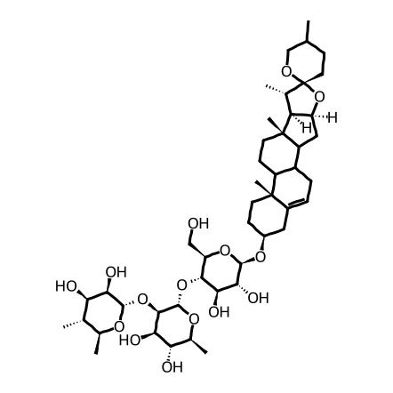 CC1CC[C@@]2(OC1)O[C@H]1CC3C4CC=C5C[C@@H](O[C@@H]6O[C@H](CO)[C@@H](O[C@@H]7O[C@@H](C)[C@H](O)[C@@H](O)[C@H]7O[C@@H]7O[C@@H](C)[C@H](C)[C@@H](O)[C@H]7O)[C@H](O)[C@H]6O)CC[C@]5(C)C4CC[C@]3(C)[C@H]1[C@@H]2C